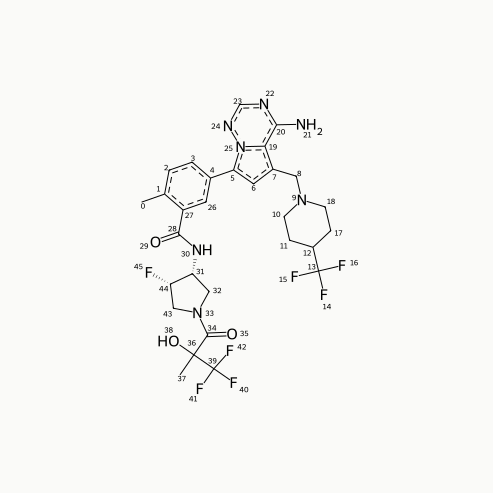 Cc1ccc(-c2cc(CN3CCC(C(F)(F)F)CC3)c3c(N)ncnn23)cc1C(=O)N[C@@H]1CN(C(=O)C(C)(O)C(F)(F)F)C[C@@H]1F